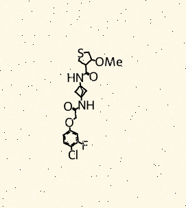 COC1CSCC1C(=O)NC12CC(NC(=O)COc3ccc(Cl)c(F)c3)(C1)C2